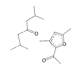 CC(=O)c1oc(C)cc1C.CC(C)CC(=O)CC(C)C